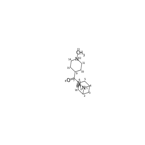 CC(C)N1C2CC1CN(C(=O)C1CCN(C)CC1)C2